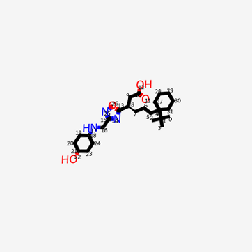 CC(C)(C)C1(CCC[C@H](CC(=O)O)c2nc(CNC3CCC(O)CC3)no2)CCCCC1